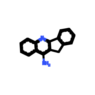 Nc1c2c(nc3ccccc13)-c1ccccc1C2